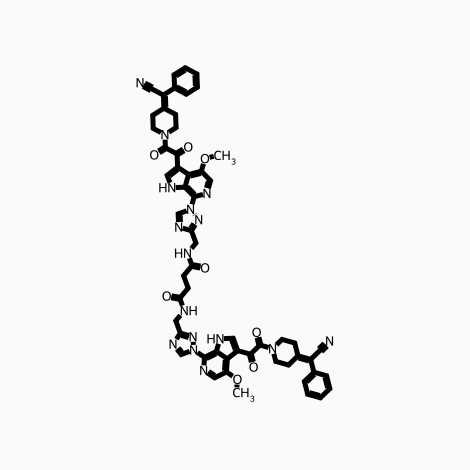 COc1cnc(-n2cnc(CNC(=O)CCC(=O)NCc3ncn(-c4ncc(OC)c5c(C(=O)C(=O)N6CCC(=C(C#N)c7ccccc7)CC6)c[nH]c45)n3)n2)c2[nH]cc(C(=O)C(=O)N3CCC(=C(C#N)c4ccccc4)CC3)c12